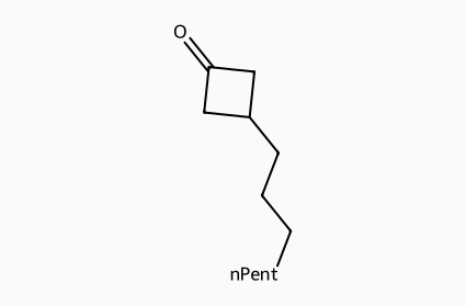 CCCCCCCCC1CC(=O)C1